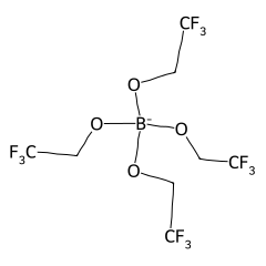 FC(F)(F)CO[B-](OCC(F)(F)F)(OCC(F)(F)F)OCC(F)(F)F